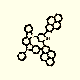 C1=C(c2cc3ccc4cccc5ccc(c2)c3c45)NC(c2cc3ccc4cccc5ccc(c2)c3c45)C=C1n1c2ccccc2c2ccc3c(c4ccccc4n3-c3ccccc3)c21